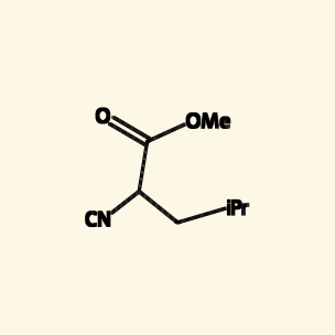 [C-]#[N+]C(CC(C)C)C(=O)OC